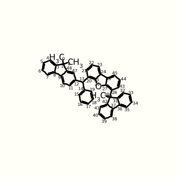 CC1(C)c2ccccc2-c2ccc(C(c3ccccc3)c3cccc4c3oc3c(C5(C)c6ccccc6-c6ccccc65)cccc34)cc21